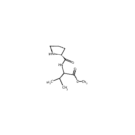 COC(=O)C(NC(=O)[C@@H]1CCCN1)C(C)C